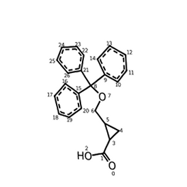 O=C(O)C1CC1COC(c1ccccc1)(c1ccccc1)c1ccccc1